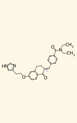 CCN(CC)C(=O)c1ccc(/C=C2\CCc3cc(OCCc4c[nH]cn4)ccc3C2=O)cc1